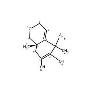 CC1(C)C2=CCOC[C@@]2(C)CC(C#N)=C1O